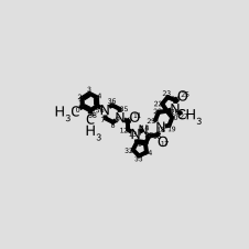 Cc1cccc(N2CCN(C(=O)Cn3nc(C(=O)N4CCC5(CCC(=O)N5C)CC4)c4c3CCC4)CC2)c1C